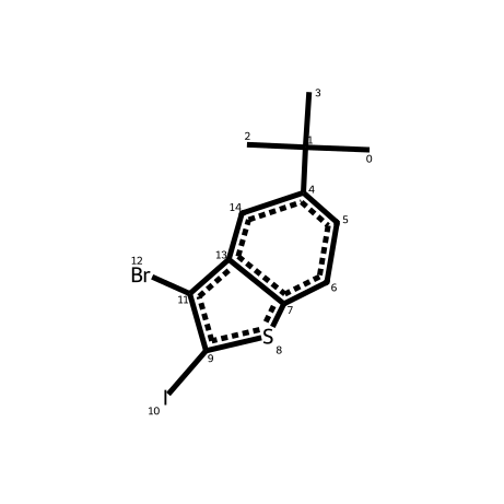 CC(C)(C)c1ccc2sc(I)c(Br)c2c1